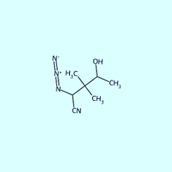 CC(O)C(C)(C)C(C#N)N=[N+]=[N-]